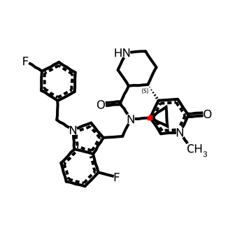 Cn1ccc([C@H]2CCNCC2C(=O)N(Cc2cn(Cc3cccc(F)c3)c3cccc(F)c23)C2CC2)cc1=O